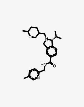 Cc1ccc(CNC(=O)c2ccc3c(c2)CN(CC2CCC(C)OC2)[C@H]3C(C)C)nc1